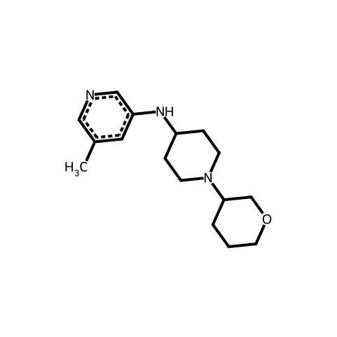 Cc1cncc(NC2CCN(C3CCCOC3)CC2)c1